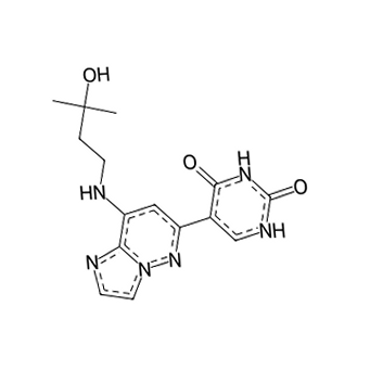 CC(C)(O)CCNc1cc(-c2c[nH]c(=O)[nH]c2=O)nn2ccnc12